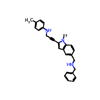 CCn1c(C#CCNc2ccc(C)cc2)cc2cc(CNCc3ccccc3)ccc21